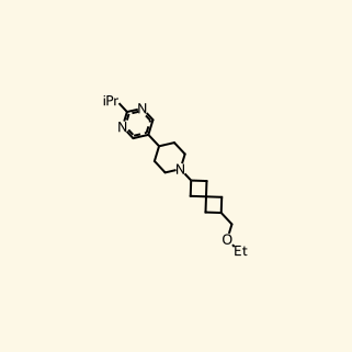 CCOCC1CC2(C1)CC(N1CCC(c3cnc(C(C)C)nc3)CC1)C2